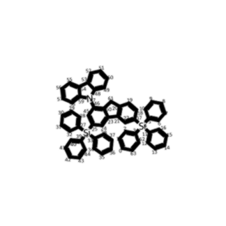 c1ccc([Si](c2ccccc2)(c2ccccc2)c2ccc3c(c2)-c2cc([Si](c4ccccc4)(c4ccccc4)c4ccccc4)cc(-n4c5ccccc5c5ccccc54)c2C3)cc1